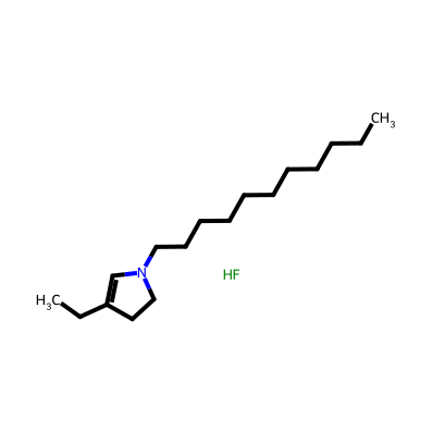 CCCCCCCCCCCN1C=C(CC)CC1.F